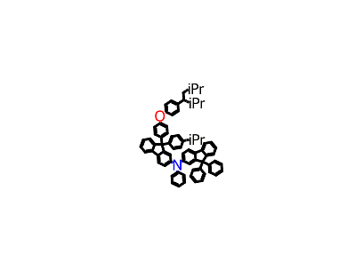 CC(C)CC(c1ccc(Oc2ccc(C3(c4ccc(C(C)C)cc4)c4ccccc4-c4ccc(N(c5ccccc5)c5ccc6c(c5)C(c5ccccc5)(c5ccccc5)c5ccccc5-6)cc43)cc2)cc1)C(C)C